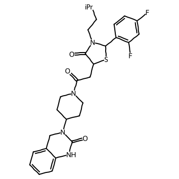 CC(C)CCN1C(=O)C(CC(=O)N2CCC(N3Cc4ccccc4NC3=O)CC2)SC1c1ccc(F)cc1F